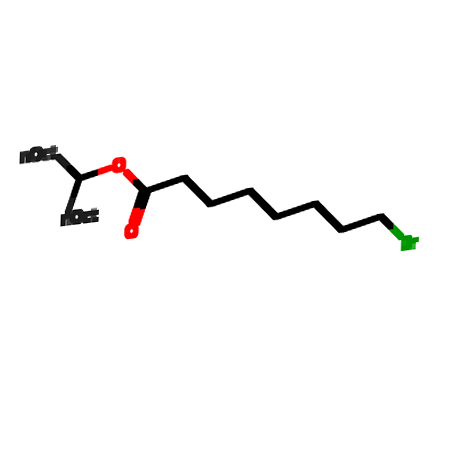 CCCCCCCCC(CCCCCCCC)OC(=O)CCCCCCCBr